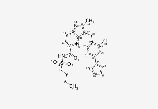 CCCCS(=O)(=O)NC(=O)c1ccc2nc(C)n(Cc3ccc(-c4ccco4)cc3Cl)c2n1